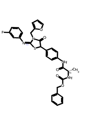 C[C@H](NC(=O)OCc1ccccc1)C(=O)Nc1ccc(C2S/C(=N/c3cccc(F)c3)N(Cc3ccco3)C2=O)cc1